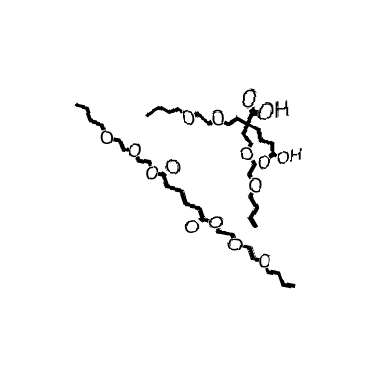 CCCCOCCOCCC(CCCC(=O)O)(CCOCCOCCCC)C(=O)O.CCCCOCCOCCOC(=O)CCCCC(=O)OCCOCCOCCCC